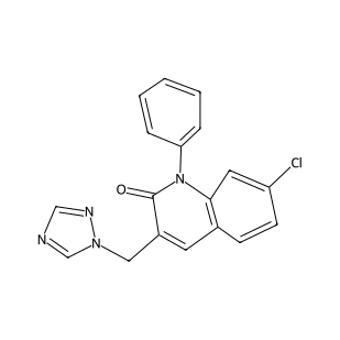 O=c1c(Cn2cncn2)cc2ccc(Cl)cc2n1-c1ccccc1